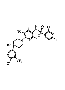 Cc1nc(N2CCC(O)(c3ccc(Cl)c(C(F)(F)F)c3)CC2)c(C#N)c(C)c1NS(=O)(=O)c1ccc(Cl)cc1Cl